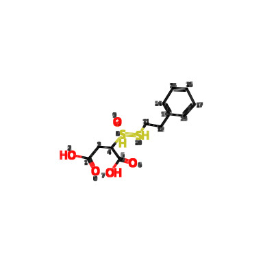 O=C(O)CC(C(=O)O)/[SH](=O)=[SH]/CCc1ccccc1